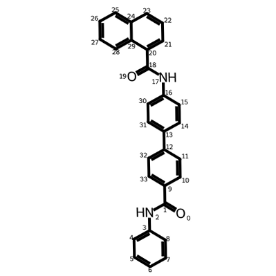 O=C(Nc1ccccc1)c1ccc(-c2ccc(NC(=O)c3cccc4ccccc34)cc2)cc1